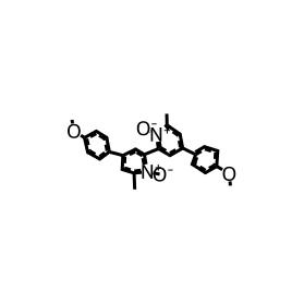 COc1ccc(-c2cc(C)[n+]([O-])c(-c3cc(-c4ccc(OC)cc4)cc(C)[n+]3[O-])c2)cc1